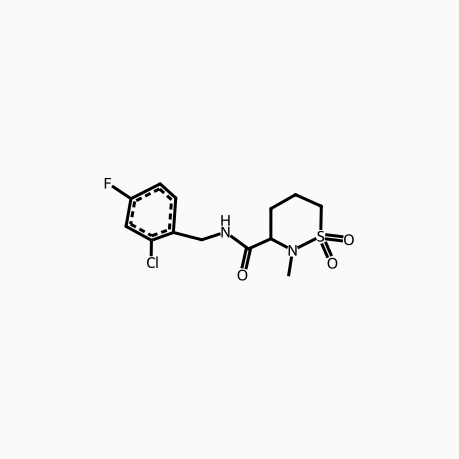 CN1C(C(=O)NCc2ccc(F)cc2Cl)CCCS1(=O)=O